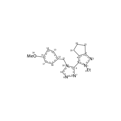 CCn1nc2c(c1-c1nncn1Cc1ccc(OC)cc1)CCC2